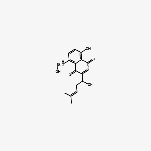 CC(C)=CC[C@H](O)C1=CC(=O)c2c(O)ccc(O)c2C1=O.CCO